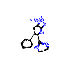 c1ccc(-c2cc3[nH]nnc3nc2-c2ncc[nH]2)cc1